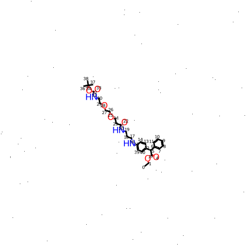 CCOC(=O)C(c1ccccc1)c1ccc(NCCCNC(=O)CCOCCOCCNC(=O)OC(C)(C)C)cc1